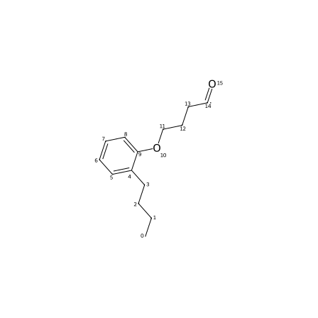 CCCCc1ccccc1OCCC[C]=O